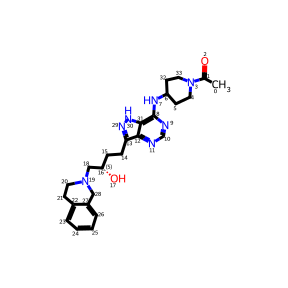 CC(=O)N1CCC(Nc2ncnc3c(CC[C@H](O)CN4CCc5ccccc5C4)n[nH]c23)CC1